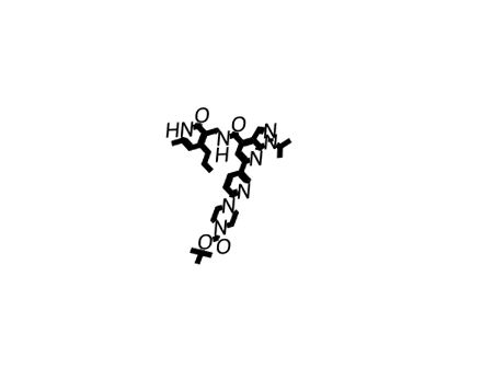 CCCc1cc(C)[nH]c(=O)c1CNC(=O)c1cc(-c2ccc(N3CCN(C(=O)OC(C)(C)C)CC3)nc2)nc2c1cnn2C(C)C